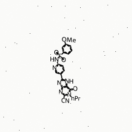 CCCn1c(C#N)nc2nc(-c3ccc(NS(=O)(=O)c4cccc(OC)c4)nc3)[nH]c2c1=O